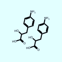 Nc1ccc(CC(O)C(=O)O)cc1.Nc1ccc(CC(O)C(=O)O)cc1